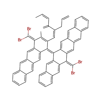 C=CC/C(=C/c1c(C)c(=C(Br)Br)c2cc3cc4ccccc4cc3cc2/c1=c1\c2cc3ccccc3cc2c(=C(Br)Br)c2cc3cc4ccccc4cc3cc12)C(=C)/C=C\C